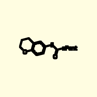 CCCCCC(=O)Sc1ccc2c(c1)CCCO2